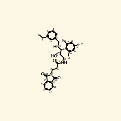 CCc1cccc(CNC[C@@H](O)[C@H](Cc2cc(F)cc(F)c2)NC(=O)CCN2C(=O)c3ccccc3C2=O)c1